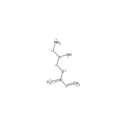 C=CC(=C)OCC(O)CN